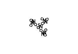 c1ccc(-n2c(-c3ccc(-c4nc5c(-c6ccc(-c7nc8ccccc8n7-c7ccccc7)cc6)ccc(-c6ccc(-c7nc8ccccc8n7-c7ccccc7)cc6)c5s4)cc3)nc3ccccc32)cc1